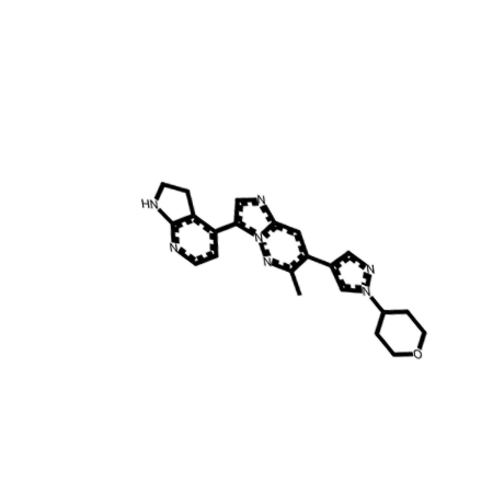 Cc1nn2c(-c3ccnc4c3CCN4)cnc2cc1-c1cnn(C2CCOCC2)c1